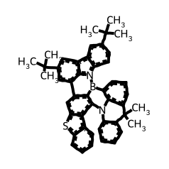 CC(C)(C)c1ccc2c(c1)c1cc(C(C)(C)C)cc3c1n2B1c2cccc4c2N(c2ccccc2C4(C)C)c2c1c-3cc1sc3ccccc3c21